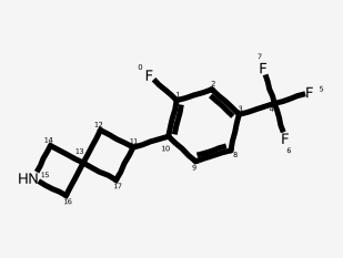 Fc1cc(C(F)(F)F)ccc1C1CC2(CNC2)C1